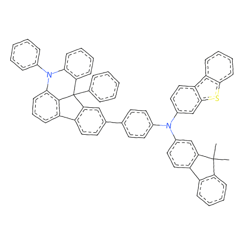 CC1(C)c2ccccc2-c2ccc(N(c3ccc(-c4ccc5c(c4)C4(c6ccccc6)c6ccccc6N(c6ccccc6)c6cccc-5c64)cc3)c3ccc4c(c3)sc3ccccc34)cc21